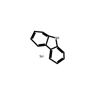 [Sn].c1ccc2c(c1)[nH]c1ccccc12